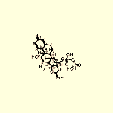 CCCC1O[C@@H]2C[C@H]3[C@@H]4CCC5=CC(=O)C=C[C@]5(C)[C@H]4[C@@H](O)C[C@]3(C)[C@]2(C(=O)COP(=O)(O)O[PH](=O)O)O1